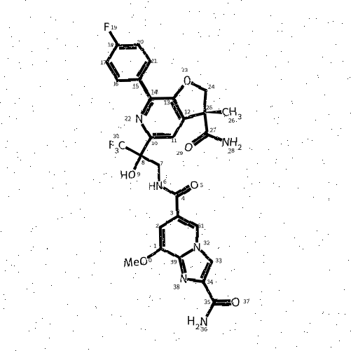 COc1cc(C(=O)NCC(O)(c2cc3c(c(-c4ccc(F)cc4)n2)OC[C@]3(C)C(N)=O)C(F)(F)F)cn2cc(C(N)=O)nc12